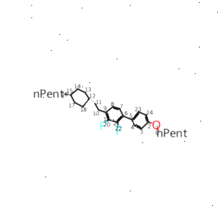 CCCCCOc1ccc(-c2ccc(CC[C@H]3CC[C@H](CCCCC)CC3)c(F)c2F)cc1